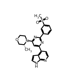 C[C@@H]1COCCN1c1cc(-c2ccnc3[nH]ccc23)nc(-c2cccc(S(C)(=O)=O)c2)n1